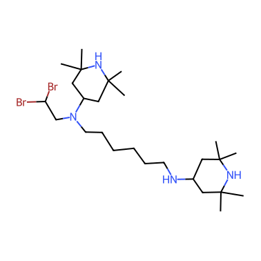 CC1(C)CC(NCCCCCCN(CC(Br)Br)C2CC(C)(C)NC(C)(C)C2)CC(C)(C)N1